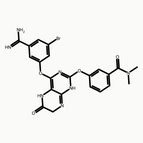 CN(C)C(=O)c1cccc(OC2=NC(Oc3cc(Br)cc(C(=N)N)c3)=C3NC(=O)CN=C3N2)c1